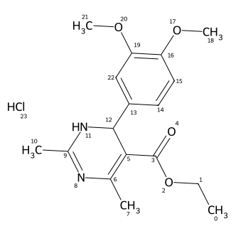 CCOC(=O)C1=C(C)N=C(C)NC1c1ccc(OC)c(OC)c1.Cl